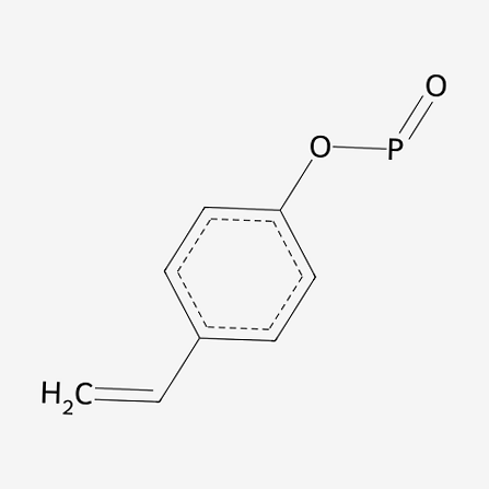 C=Cc1ccc(OP=O)cc1